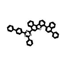 c1ccc(-c2ccc(-c3nc(-c4ccccc4)nc(-c4cc5oc6c(-c7ccc(-c8ccccc8)c8ccccc78)cccc6c5c5ccccc45)n3)cc2)cc1